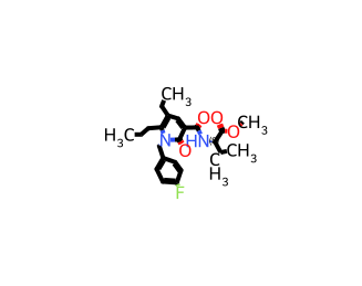 CCCc1c(CC)cc(C(=O)N[C@H](C(=O)OC)C(C)C)c(=O)n1Cc1ccc(F)cc1